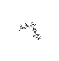 O=[N+]([O-])[O-].O=[N+]([O-])[O-].O=[N+]([O-])[O-].O=[N+]([O-])[O-].O=[N+]([O-])[O-].[Mg+2].[Tb+3]